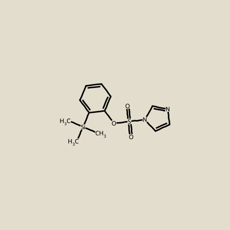 C[Si](C)(C)c1ccccc1OS(=O)(=O)n1ccnc1